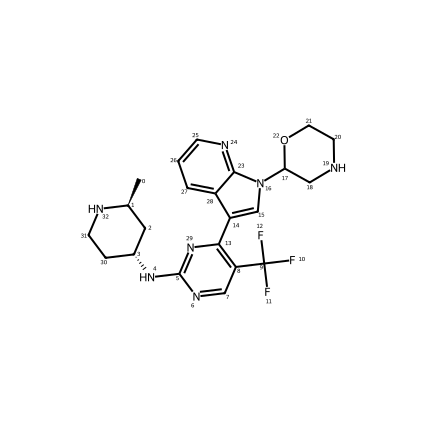 C[C@H]1C[C@H](Nc2ncc(C(F)(F)F)c(-c3cn(C4CNCCO4)c4ncccc34)n2)CCN1